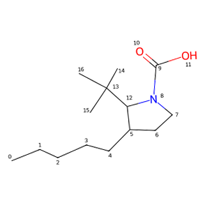 CCCCCC1CCN(C(=O)O)C1C(C)(C)C